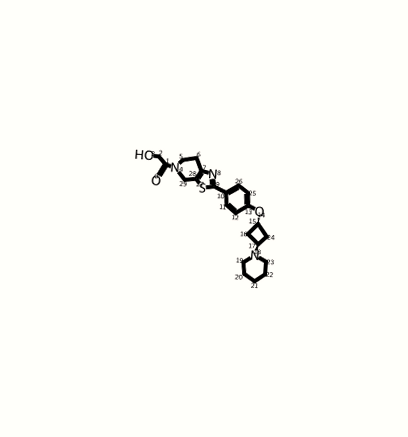 O=C(CO)N1CCc2nc(-c3ccc(O[C@H]4C[C@H](N5CCCCC5)C4)cc3)sc2C1